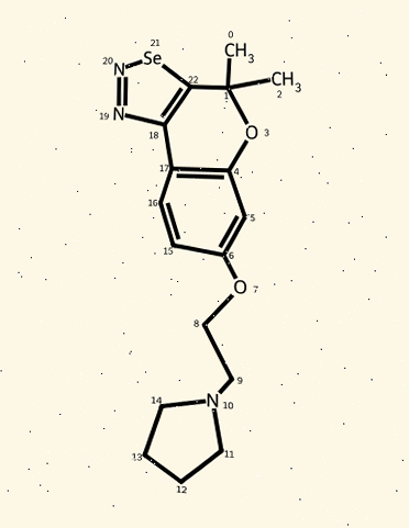 CC1(C)Oc2cc(OCCN3CCCC3)ccc2-c2nn[se]c21